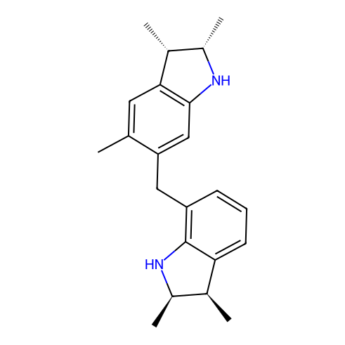 Cc1cc2c(cc1Cc1cccc3c1N[C@H](C)[C@@H]3C)N[C@@H](C)[C@H]2C